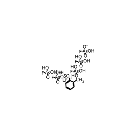 Cc1ccccc1S(=O)(=O)O.O=[As](O)(O)F.O=[As](O)(O)F.O=[As](O)(O)F.O=[As](O)(O)F.O=[As]([O-])(O)F.[Li+]